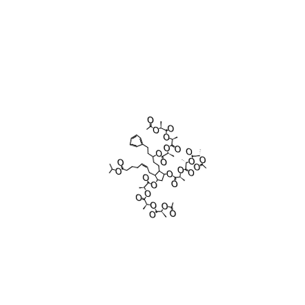 CC(=O)O[C@@H](C)C(=O)O[C@@H](C)C(=O)O[C@@H](C)C(=O)OC(CCc1ccccc1)CCC1C(OC(=O)[C@H](C)OC(=O)[C@H](C)OC(=O)[C@H](C)OC(C)=O)CC(OC(=O)[C@H](C)OC(=O)[C@H](C)OC(=O)[C@H](C)OC(C)=O)C1C/C=C\CCCC(=O)OC(C)C